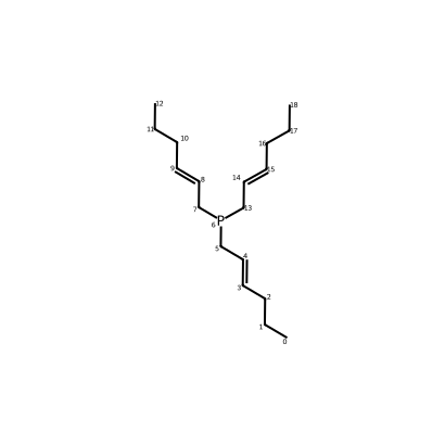 CCC/C=C/CP(C/C=C/CCC)C/C=C/CCC